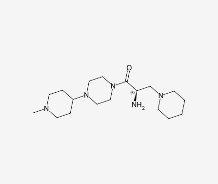 CN1CCC(N2CCN(C(=O)[C@H](N)CN3CCCCC3)CC2)CC1